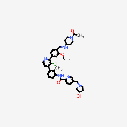 COc1cc(-c2nccc(-c3cccc(NC(=O)c4ccc(CN5CC[C@H](O)C5)cn4)c3C)c2Cl)ccc1CNC1CCN(C(C)=O)CC1